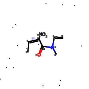 C=CN(C)C(=O)/C(=C\C)[N+](=O)[O-]